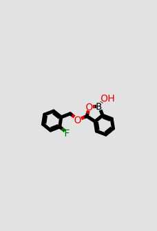 OB1OC(OCc2ccccc2F)c2ccccc21